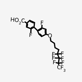 O=C(O)c1ccc(-c2ccc(OCCCCC(F)(F)C(F)(F)C(F)(F)C(F)(F)F)cc2F)c(F)c1